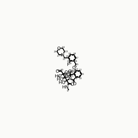 CNC(=O)C(O)(N1C(=O)c2cccc(OCc3cccc(CN4CCOCC4)c3F)c2C1(O)O)C(O)(O)C(O)(O)C=O